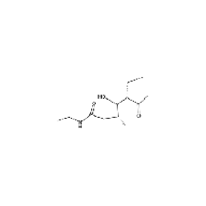 CCNC(=O)C[C@@H](C)C(O)[C@H](CC)C(C)=O